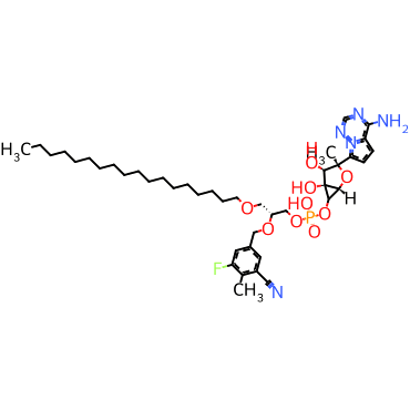 CCCCCCCCCCCCCCCCCCOC[C@H](COP(=O)(O)OC1[C@H]2O[C@@](C)(c3ccc4c(N)ncnn34)[C@H](O)[C@@]12O)OCc1cc(F)c(C)c(C#N)c1